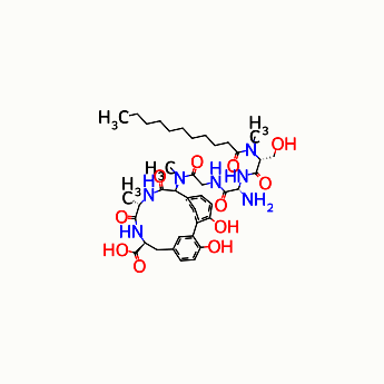 CCCCCCCCCCC(=O)N(C)[C@H](CO)C(=O)N[C@H](N)C(=O)NCC(=O)N(C)[C@@H]1C(=O)N[C@@H](C)C(=O)N[C@H](C(=O)O)Cc2ccc(O)c(c2)-c2cc1ccc2O